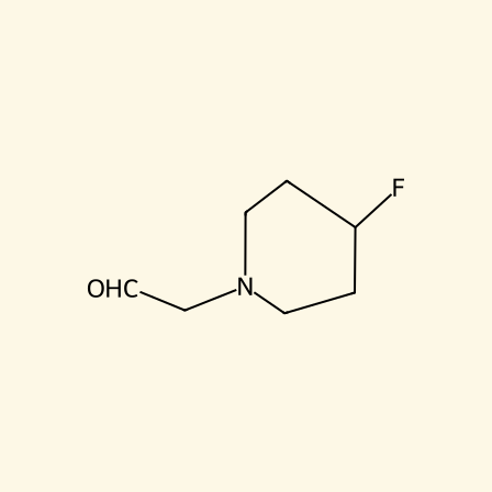 O=CCN1CCC(F)CC1